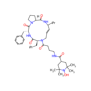 CC(C)C[C@H]1C(=O)N[C@H](Cc2ccccc2)C(=O)N2CCC[C@H]2C(=O)NC(C(C)C)/C=C/CN1C(=O)CCCNC(=O)C1CC(C)(C)N(O)C(C)(C)C1